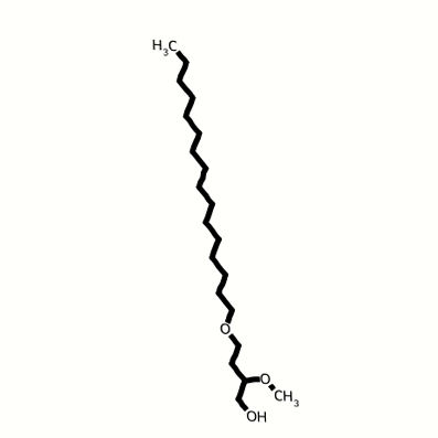 CCCCCCCCCCCCCCCCOCCC(CO)OC